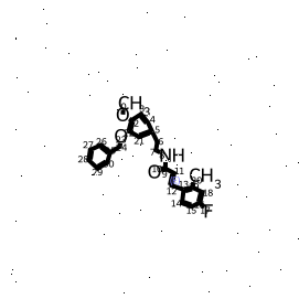 COc1ccc(CCNC(=O)/C=C/c2ccc(F)cc2C)cc1OCc1ccccc1